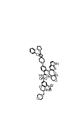 Cc1ccccc1[C@@H]1CCCN1C1CC2(CCN(c3ccc(C(=O)NS(=O)(=O)c4cc5c(c([N+](=O)[O-])c4)N[C@@H](CN4CCOCC4)CO5)c(N4C[C@@H]5CCOC[C@H]5Oc5nc6[nH]ccc6cc54)c3)CC2)C1